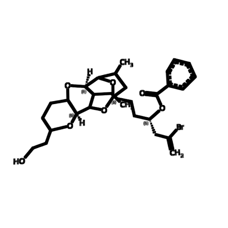 C=C(Br)C[C@H](CC[C@]12CC(C)C(O1)[C@@H]1OC3CCC(CCO)O[C@@H]3C(O2)C1CC)OC(=O)c1ccccc1